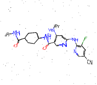 CC(C)NC(=O)C1CCC(NC(=O)c2cnc(Nc3ncc(C#N)cc3F)cc2NC(C)C)CC1